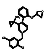 NC1(C2=CN(Cc3cc(Cl)ccc3Cl)CC=C2c2ccccc2OC2COC2)CC1